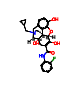 O=C(Nc1ccccc1F)C1=C(O)[C@@H]2Oc3c(O)ccc4c3[C@@]23CCN(CC2CC2)[C@H](C4)[C@]3(O)C1